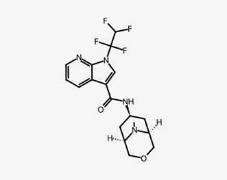 CN1[C@@H]2COC[C@H]1C[C@@H](NC(=O)c1cn(C(F)(F)C(F)F)c3ncccc13)C2